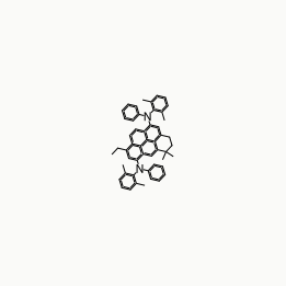 CCc1cc(N(c2ccccc2)c2c(C)cccc2C)c2cc3c4c(cc(N(c5ccccc5)c5c(C)cccc5C)c5ccc1c2c54)CCC3(C)C